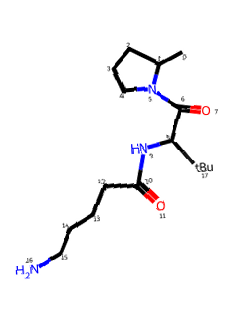 CC1CCCN1C(=O)C(NC(=O)CCCCN)C(C)(C)C